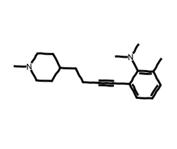 Cc1cccc(C#CCCC2CCN(C)CC2)c1N(C)C